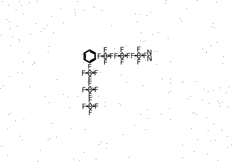 F[B-](F)(F)F.F[B-](F)(F)F.F[B-](F)(F)F.F[B-](F)(F)F.F[B-](F)(F)F.F[B-](F)(F)F.N#N.c1ccccc1